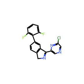 Fc1cccc(F)c1-c1ccc2c(c1)C(c1cncc(Cl)n1)=NC2